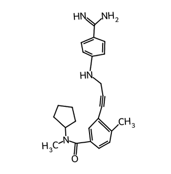 Cc1ccc(C(=O)N(C)C2CCCC2)cc1C#CCNc1ccc(C(=N)N)cc1